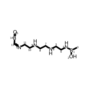 CB(O)NCCNCCNCC/N=C\B=O